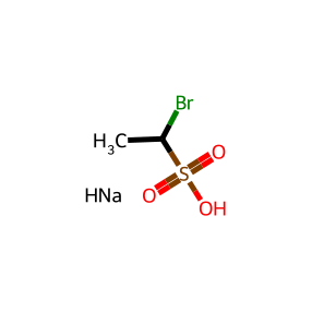 CC(Br)S(=O)(=O)O.[NaH]